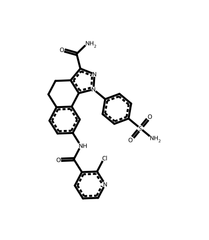 NC(=O)c1nn(-c2ccc(S(N)(=O)=O)cc2)c2c1CCc1ccc(NC(=O)c3cccnc3Cl)cc1-2